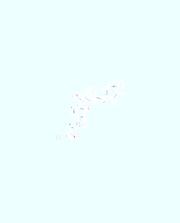 O=C(O)C(=O)Nc1ccc2c(=O)c3c(oc2c1)C(=Cc1ccc(F)cc1)CC3